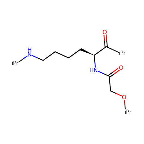 CC(C)NCCCC[C@H](NC(=O)COC(C)C)C(=O)C(C)C